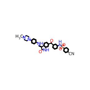 CN1CCN(c2ccc(N/C=C3/C(=O)Nc4cc(C(=O)c5cccc(NS(=O)(=O)c6ccc(C#N)cc6)c5)ccc43)cc2)CC1